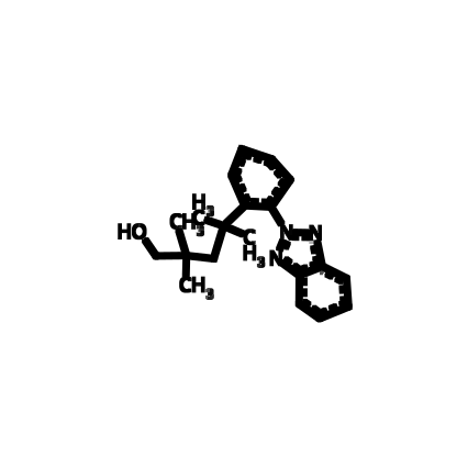 CC(C)(CO)CC(C)(C)c1ccccc1-n1nc2ccccc2n1